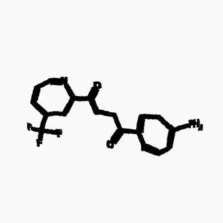 O=C(CCC(=O)C1CC(C(F)(F)F)C=CC=N1)C1=CCC(P)=CC=C1